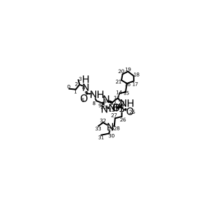 CCC(C)NC(=O)NCc1n[nH]c([C@@H](CCC2CCCCC2)NS(=O)(=O)CCCN(CC)CC)n1